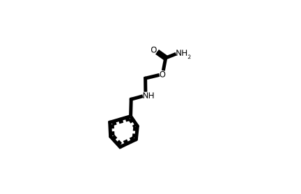 NC(=O)OCNCc1ccccc1